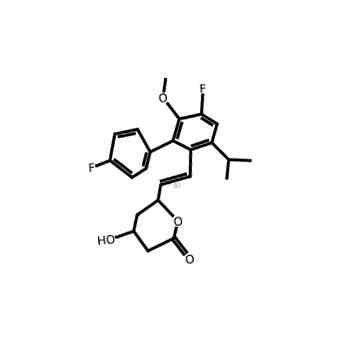 COc1c(F)cc(C(C)C)c(/C=C/C2CC(O)CC(=O)O2)c1-c1ccc(F)cc1